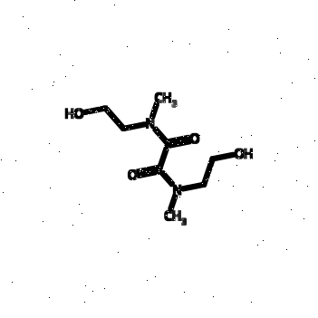 CN(CCO)C(=O)C(=O)N(C)CCO